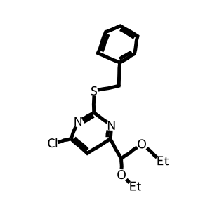 CCOC(OCC)c1cc(Cl)nc(SCc2ccccc2)n1